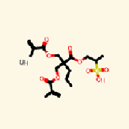 C=C(C)C(=O)OCC(CCC)(COC(=O)C(=C)C)C(=O)OCC(C)S(=O)(=O)O.[LiH]